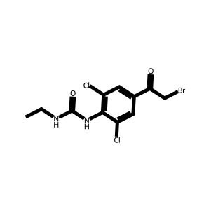 CCNC(=O)Nc1c(Cl)cc(C(=O)CBr)cc1Cl